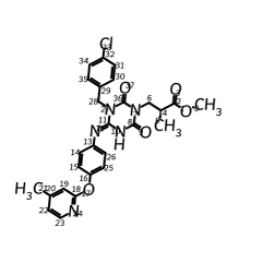 COC(=O)[C@@H](C)Cn1c(=O)[nH]/c(=N\c2ccc(Oc3cc(C)ccn3)cc2)n(Cc2ccc(Cl)cc2)c1=O